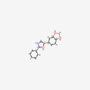 c1ccc(-c2ncc(-c3ccc4c(c3)OCO4)o2)cc1